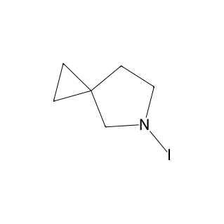 IN1CCC2(CC2)C1